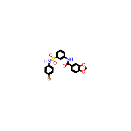 O=C(Nc1cccc(S(=O)(=O)Nc2ccc(Br)cc2)c1)c1ccc2c(c1)OCO2